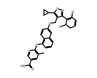 Cc1cc(C(=O)O)cnc1Oc1cccc2cc(OCc3c(C4=C(Cl)C=CCC4Cl)noc3C3CC3)ccc12